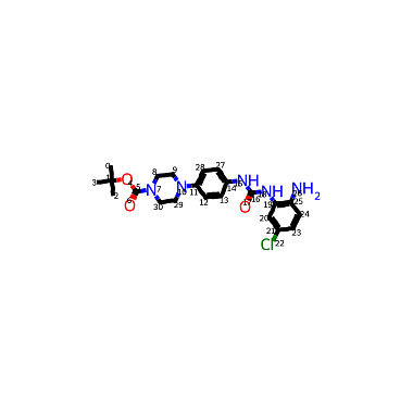 CC(C)(C)OC(=O)N1CCN(c2ccc(NC(=O)Nc3cc(Cl)ccc3N)cc2)CC1